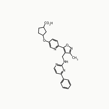 Cc1noc(-c2ccc(OC3CCC(C(=O)O)C3)cn2)c1CNc1nccc(-c2ccccc2)n1